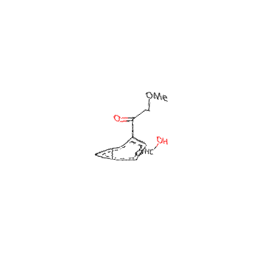 COCC(=O)c1ccc2cc1-2.O=CO